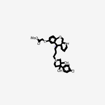 COC(=O)COc1ccc2c(c1)/C(=C/CCN1CCC(O)(c3ccc(Cl)cc3)C(C)C1)C1=CC=CNC1=CO2